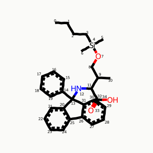 CCCC[Si](C)(C)OCC(C)C(NC1(c2ccccc2)c2ccccc2-c2ccccc21)C(=O)O